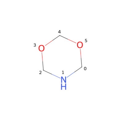 C1NCOCO1